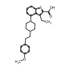 CCc1c(C(=O)O)sc2cccc(N3CCN(CCc4ccc(OC)cc4)CC3)c12